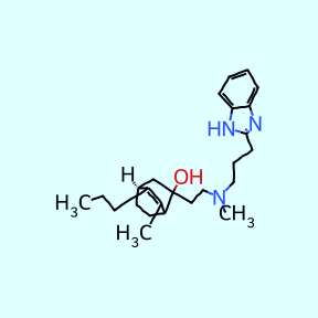 CCCC1=C(C)C2CC[C@H]1CC2(O)CCN(C)CCCc1nc2ccccc2[nH]1